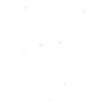 O=C1OC[C@@]2(CCc3c2ccc(Br)c3F)N1c1ncc(C(F)(F)F)cc1OCF